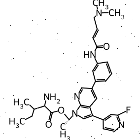 CCC(C)C(N)C(=O)O[C@@H](C)n1cc(-c2ccnc(F)c2)c2cc(-c3cccc(NC(=O)/C=C/CN(C)C)c3)cnc21